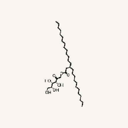 CCCCCCCCCCCCCCC(CCCCCCCCCCCC)CC(=O)OCC(=O)[C@H](O)[C@@H](O)[C@H](O)CO